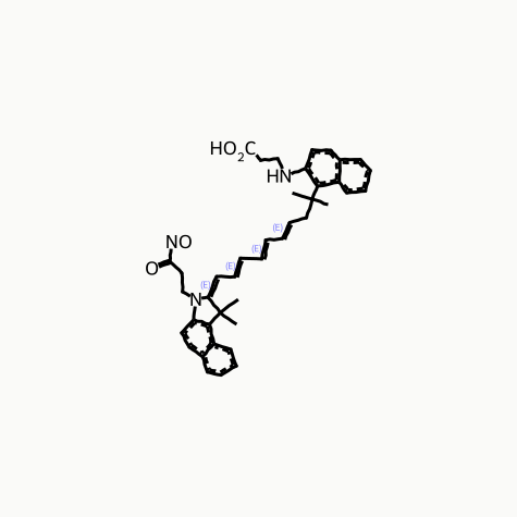 CC(C)(C/C=C/C=C/C=C/C=C1/N(CCC(=O)N=O)c2ccc3ccccc3c2C1(C)C)c1c(NCCC(=O)O)ccc2ccccc12